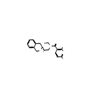 Cc1ccc(C(=O)N2CC[C@]3(Cc4ccccc4CN3)[C@H](O)C2)c(C)n1